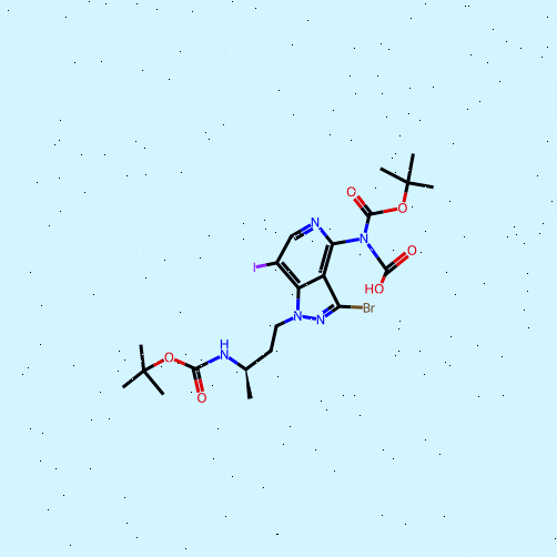 C[C@H](CCn1nc(Br)c2c(N(C(=O)O)C(=O)OC(C)(C)C)ncc(I)c21)NC(=O)OC(C)(C)C